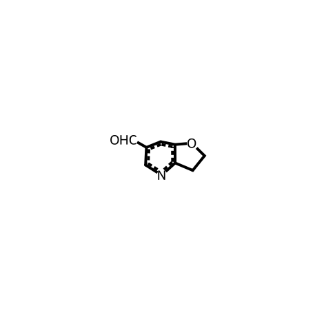 O=Cc1cnc2c(c1)OCC2